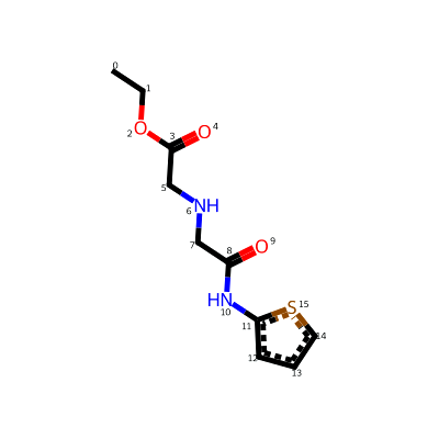 CCOC(=O)CNCC(=O)Nc1cccs1